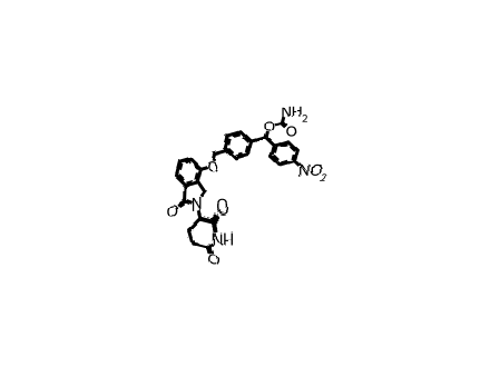 NC(=O)OC(c1ccc(COc2cccc3c2CN(C2CCC(=O)NC2=O)C3=O)cc1)c1ccc([N+](=O)[O-])cc1